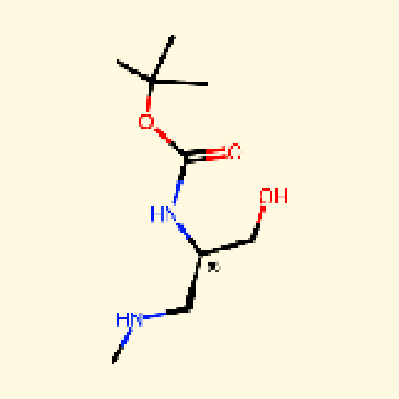 CNC[C@H](CO)NC(=O)OC(C)(C)C